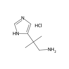 CC(C)(CN)c1cnc[nH]1.Cl